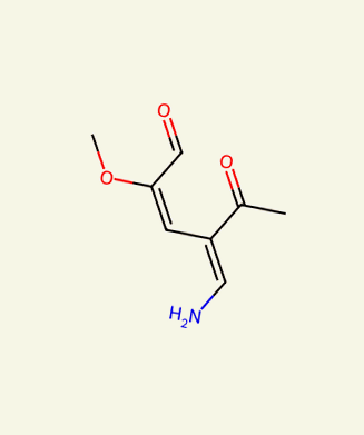 CO/C(C=O)=C/C(=C\N)C(C)=O